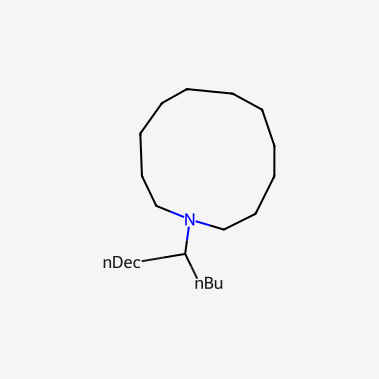 CCCCCCCCCCC(CCCC)N1CCCCCCCCCCC1